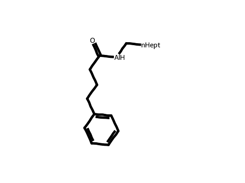 CCCCCCC[CH2][AlH][C](=O)CCCc1ccccc1